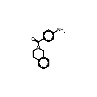 Nc1ccc(C(=O)N2CCc3ccccc3C2)cc1